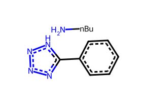 CCCCN.c1ccc(-c2nnn[nH]2)cc1